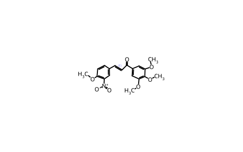 COc1ccc(/C=C/C(=O)c2cc(OC)c(OC)c(OC)c2)cc1[N+](=O)[O-]